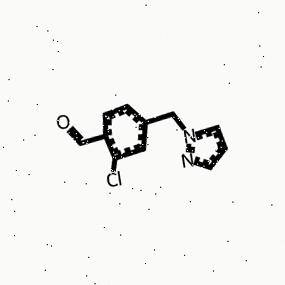 O=Cc1ccc(Cn2cccn2)cc1Cl